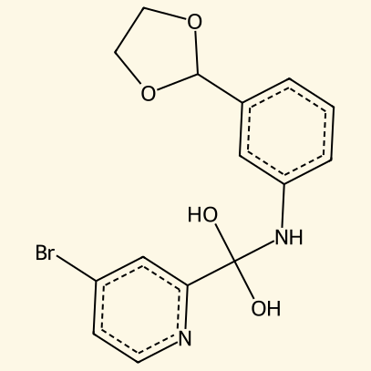 OC(O)(Nc1cccc(C2OCCO2)c1)c1cc(Br)ccn1